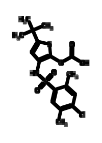 Cc1cc(S(=O)(=O)Nc2cc(C(C)(C)C)sc2OC(=O)O)c(C)cc1Cl